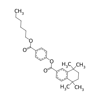 CCCCCCOC(=O)c1ccc(OC(=O)c2ccc3c(c2)C(C)(C)CCC3(C)C)cc1